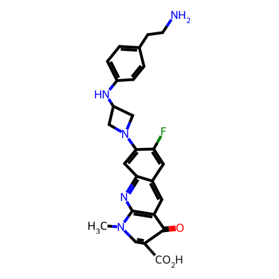 Cn1cc(C(=O)O)c(=O)c2cc3cc(F)c(N4CC(Nc5ccc(CCN)cc5)C4)cc3nc21